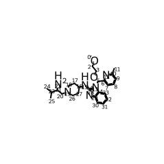 COCCOC(c1cccc(C)n1)n1c(NC2CCN(CC(N)C(C)C)CC2)nc2ccccc21